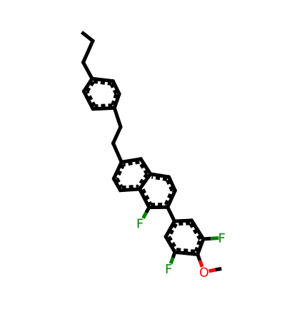 CCCc1ccc(CCc2ccc3c(F)c(-c4cc(F)c(OC)c(F)c4)ccc3c2)cc1